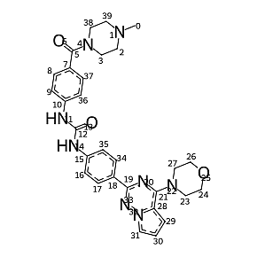 CN1CCN(C(=O)c2ccc(NC(=O)Nc3ccc(-c4nc(N5CCOCC5)c5cccn5n4)cc3)cc2)CC1